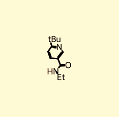 CCNC(=O)c1ccc(C(C)(C)C)nc1